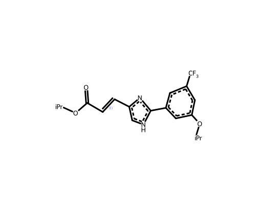 CC(C)OC(=O)/C=C/c1c[nH]c(-c2cc(OC(C)C)cc(C(F)(F)F)c2)n1